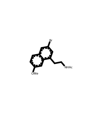 COc1ccc2cc(Br)cc(CCNC(C)=O)c2c1